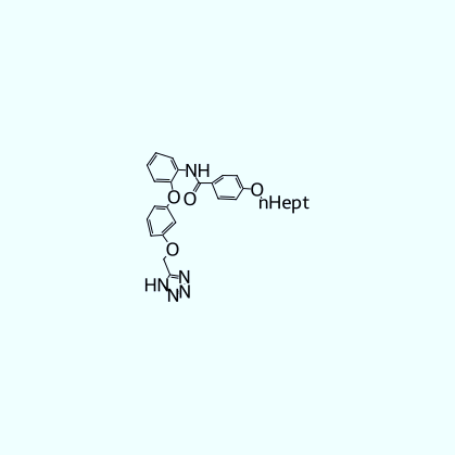 CCCCCCCOc1ccc(C(=O)Nc2ccccc2Oc2cccc(OCc3nnn[nH]3)c2)cc1